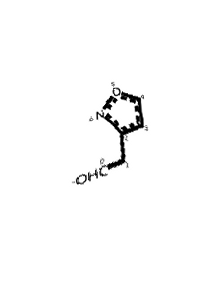 O=[C]Cc1ccon1